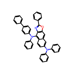 c1ccc(-c2ccc(N(c3ccccc3)c3c4ccc(N(c5ccccc5)c5ccccc5)cc4cc4oc(-c5ccccc5)nc34)cc2)cc1